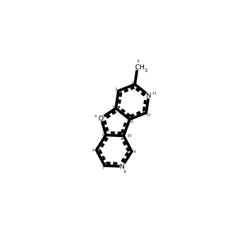 Cc1cc2oc3ccncc3c2cn1